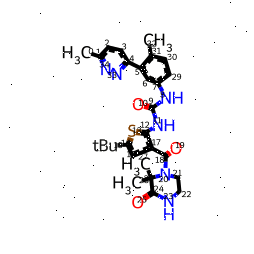 Cc1ccc(-c2cc(NC(=O)Nc3sc(C(C)(C)C)cc3C(=O)N3CCNC(=O)C3(C)C)ccc2C)nn1